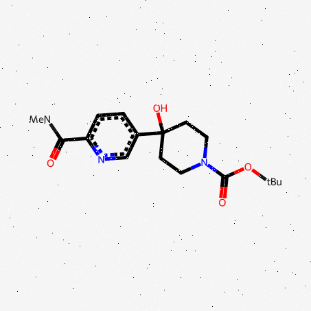 CNC(=O)c1ccc(C2(O)CCN(C(=O)OC(C)(C)C)CC2)cn1